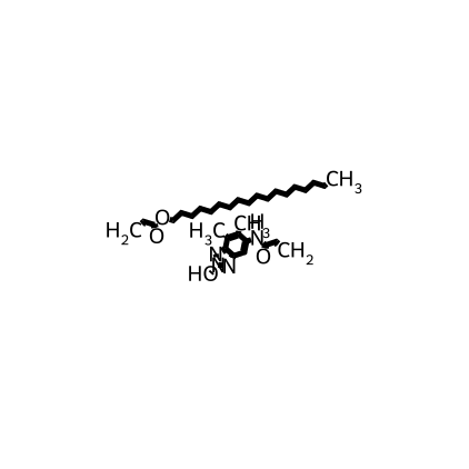 C=CC(=O)Nc1cc2nn(O)nc2c(C)c1C.C=CC(=O)OCCCCCCCCCCCCCCCCCC